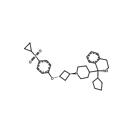 O=S(=O)(c1ccc(O[C@H]2C[C@H](N3CCC(C4(C5CCCC5)NCCc5ccccc54)CC3)C2)cc1)C1CC1